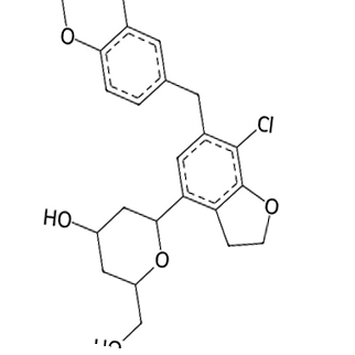 OCC1CC(O)CC(c2cc(Cc3ccc4c(c3)NCCO4)c(Cl)c3c2CCO3)O1